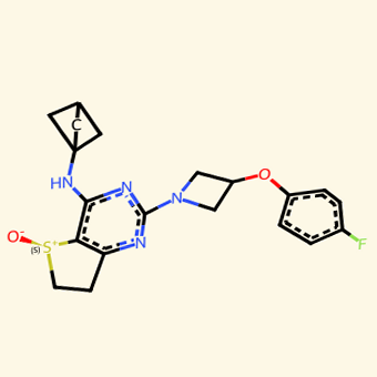 [O-][S@+]1CCc2nc(N3CC(Oc4ccc(F)cc4)C3)nc(NC34CC(C3)C4)c21